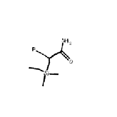 C[Si](C)(C)C(F)C(N)=O